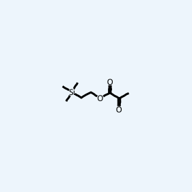 CC(=O)C(=O)OCC[Si](C)(C)C